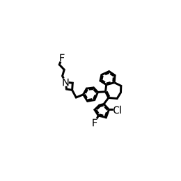 FCCCN1CC(Cc2ccc(C3=C(c4ccc(F)cc4Cl)CCCc4ccccc43)cc2)C1